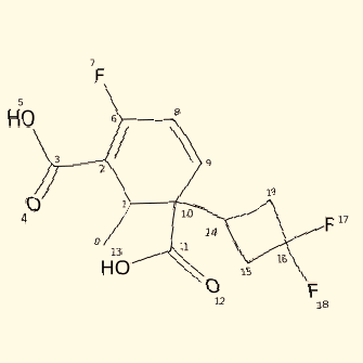 CC1C(C(=O)O)=C(F)C=CC1(C(=O)O)C1CC(F)(F)C1